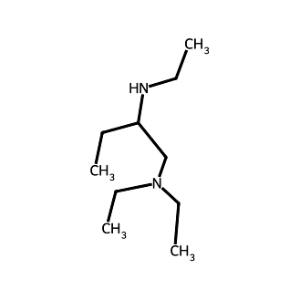 CCNC(CC)CN(CC)CC